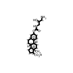 C[C@]12CCC(OC(=O)NCC(O)CN)CC1CC[C@@H]1[C@@H]2CC[C@]2(C)C(C(=O)O)CC[C@@H]12